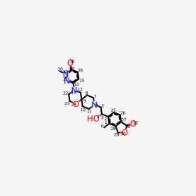 Cc1c([C@@H](O)CN2CCC3(CC2)CN(c2ccc(=O)n(C)n2)CCO3)ccc2c1COC2=O